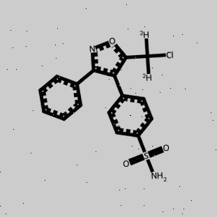 [2H]C([2H])(Cl)c1onc(-c2ccccc2)c1-c1ccc(S(N)(=O)=O)cc1